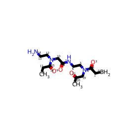 BCC(=O)N(CCNC(=O)CN(CCN)C(=O)CC)CC(C)=O